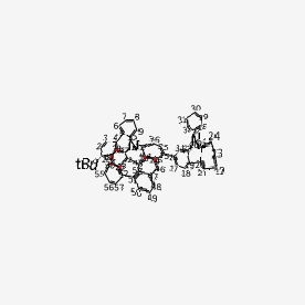 CC(C)(C)c1ccc(-c2ccccc2N(c2ccc(-c3ccc4c5ccccc5n(-c5ccccc5)c4c3)cc2)c2ccccc2-c2cccc3cccc(-c4ccccc4)c23)cc1